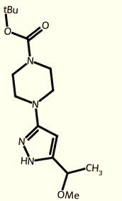 COC(C)c1cc(N2CCN(C(=O)OC(C)(C)C)CC2)n[nH]1